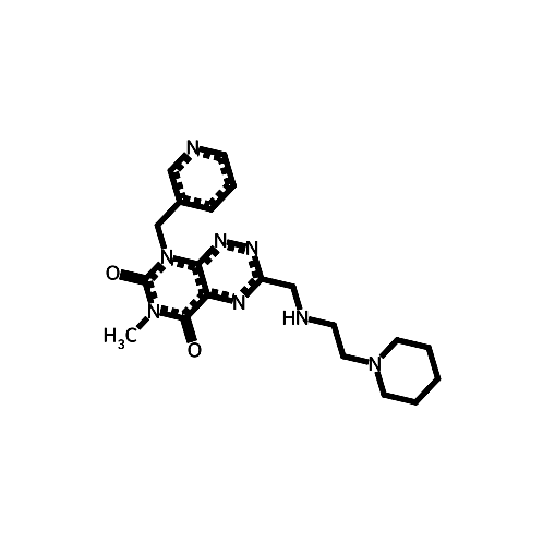 Cn1c(=O)c2nc(CNCCN3CCCCC3)nnc2n(Cc2cccnc2)c1=O